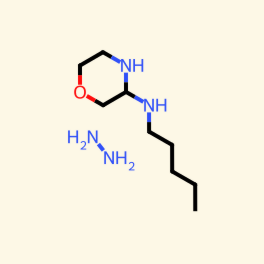 CCCCCNC1COCCN1.NN